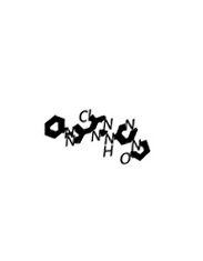 O=C1CCCN1c1cncc(Nc2ncc(Cl)c(-c3cnn(-c4ccccc4)c3)n2)c1